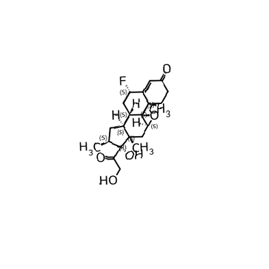 C[C@H]1C[C@H]2[C@@H]3C[C@H](F)C4=CC(=O)CC[C@]4(C)[C@@]34O[C@H]4C[C@]2(C)[C@@]1(O)C(=O)CO